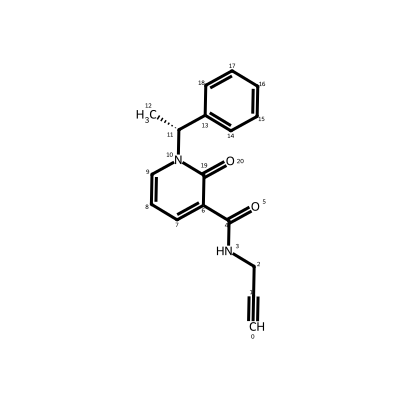 C#CCNC(=O)c1cccn([C@H](C)c2ccccc2)c1=O